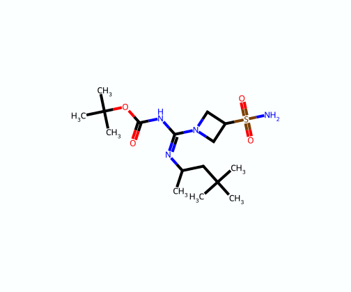 CC(CC(C)(C)C)/N=C(/NC(=O)OC(C)(C)C)N1CC(S(N)(=O)=O)C1